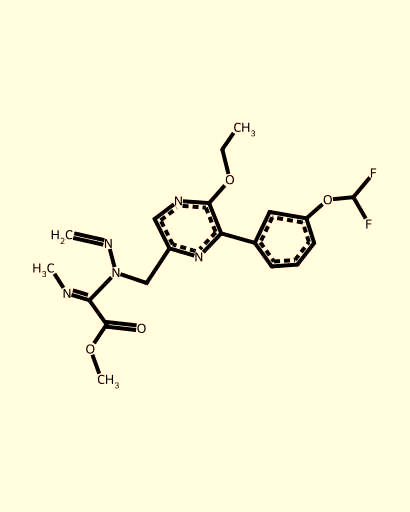 C=NN(Cc1cnc(OCC)c(-c2cccc(OC(F)F)c2)n1)/C(=N\C)C(=O)OC